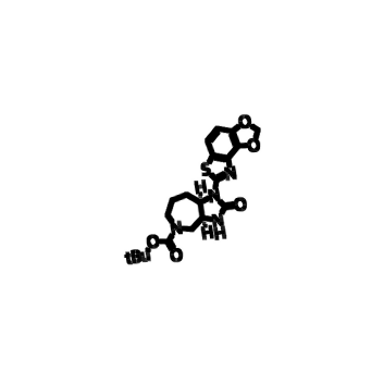 CC(C)(C)OC(=O)N1CCC[C@@H]2[C@H](C1)NC(=O)N2c1nc2c3c(ccc2s1)OCO3